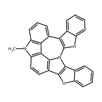 Cn1c2cccc3c2c2c1ccc1c4oc5ccccc5c4n(c4oc5ccccc5c34)c12